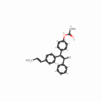 CC/C(=C(/c1ccc(/C=C/C(=O)O)cc1)c1ccc(OC(=O)OC)cc1)c1ccccc1